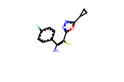 N/C(=C(\S)c1nnc(C2CC2)o1)c1ccc(F)cc1